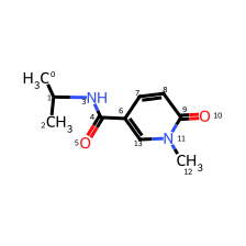 CC(C)NC(=O)c1ccc(=O)n(C)c1